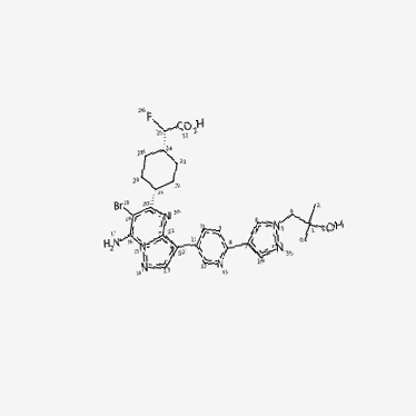 CC(C)(O)Cn1cc(-c2ccc(-c3cnn4c(N)c(Br)c([C@H]5CC[C@@H](C(F)C(=O)O)CC5)nc34)cn2)cn1